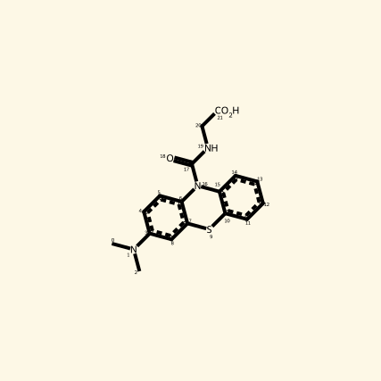 CN(C)c1ccc2c(c1)Sc1ccccc1N2C(=O)NCC(=O)O